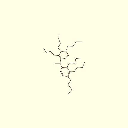 CCCCc1ccc([C](C)c2ccc(CCCC)c(CCCC)c2CCCC)c(CCCC)c1CCCC